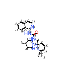 CC1CCN(C2(CNC(=O)Nc3nccc4ccccc34)C=CC=C(C(F)(F)F)N2)CC1